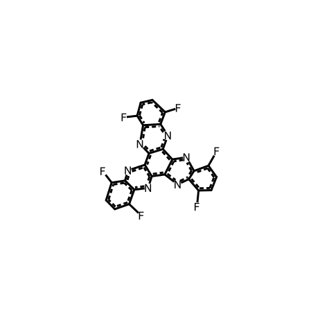 Fc1ccc(F)c2nc3c(nc12)c1nc2c(F)ccc(F)c2nc1c1nc2c(F)ccc(F)c2nc31